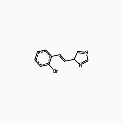 Brc1ccccc1/C=C/C1C=NC=N1